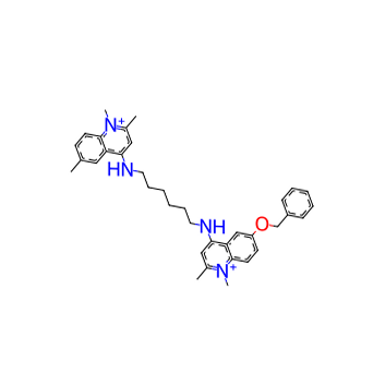 Cc1ccc2c(c1)c(NCCCCCCNc1cc(C)[n+](C)c3ccc(OCc4ccccc4)cc13)cc(C)[n+]2C